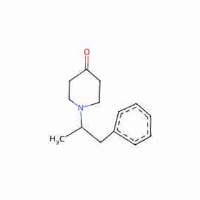 CC(Cc1ccccc1)N1CCC(=O)CC1